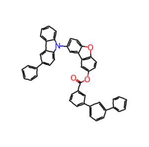 O=C(Oc1ccc2oc3ccc(-n4c5ccccc5c5cc(-c6ccccc6)ccc54)cc3c2c1)c1cccc(-c2cccc(-c3ccccc3)c2)c1